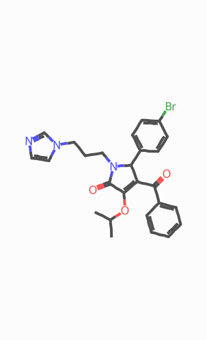 CC(C)OC1=C(C(=O)c2ccccc2)C(c2ccc(Br)cc2)N(CCCn2ccnc2)C1=O